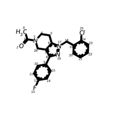 CC(=O)N1CCc2c(c(-c3ccc(F)cc3)nn2Cc2ccccc2Cl)C1